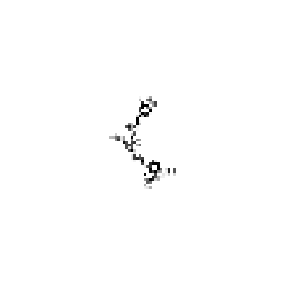 Cc1cccc(CCNCCC(=O)N(CCNCCc2ccc(O)c3[nH]c(=O)sc23)CC(C)(C)C)c1